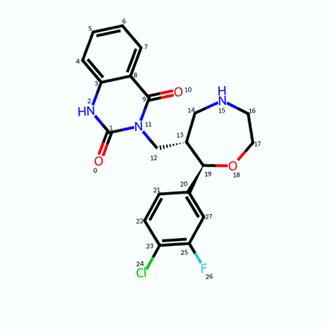 O=c1[nH]c2ccccc2c(=O)n1C[C@@H]1CNCCO[C@H]1c1ccc(Cl)c(F)c1